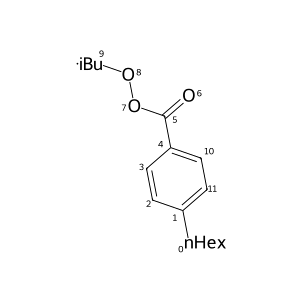 CCCCCCc1ccc(C(=O)OO[C](C)CC)cc1